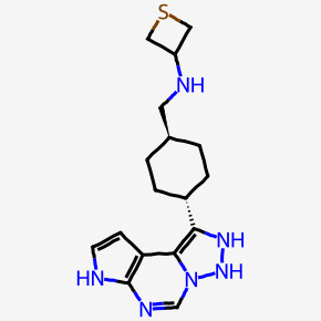 C1=Nc2[nH]ccc2C2=C([C@H]3CC[C@H](CNC4CSC4)CC3)NNN12